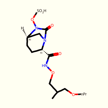 CCCOCC(C)CONC(=O)[C@@H]1CC[C@@H]2CN1C(=O)N2OS(=O)(=O)O